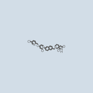 O=C1CC2(CCCN(Cc3ccc4c(c3)CCC(n3ccc(OCc5ccc(Cl)cn5)cc3=O)=C4)C2)C(=O)N1